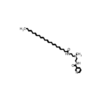 CCC=CCC=CCC=CCC=CCC=CCC=CCCC(=O)NCCN(C)CCNC(=O)c1cccnc1